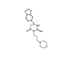 C[C@@]1(c2ccc3sccc3c2)CC(=O)N(CCCN2CCOCC2)C(=N)N1